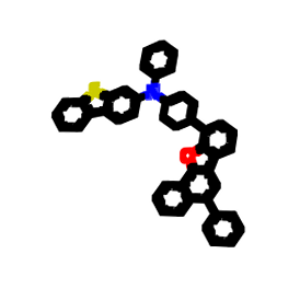 C1=C(c2cccc3c2oc2c4ccccc4c(-c4ccccc4)cc32)CCC(N(c2ccccc2)c2ccc3c(c2)sc2ccccc23)=C1